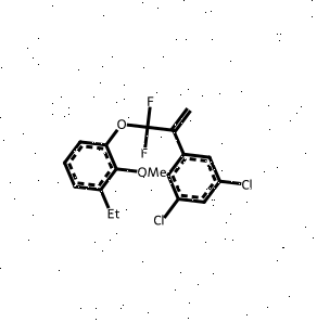 C=C(c1cc(Cl)cc(Cl)c1)C(F)(F)Oc1cccc(CC)c1OC